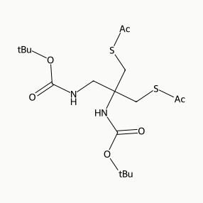 CC(=O)SCC(CNC(=O)OC(C)(C)C)(CSC(C)=O)NC(=O)OC(C)(C)C